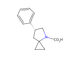 O=C(O)N1C[C@@H](c2ccccc2)CC12CC2